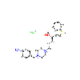 Cl.Nc1ccc(CN2CCN(CCCC(O)c3csc4ccccc34)CC2)cc1